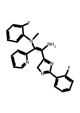 CN(/C(=C(\N)C1=NC(c2ccccc2F)=NC1)c1ccccn1)c1ccccc1F